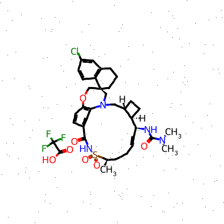 C[C@@H]1CC/C=C/[C@H](NC(=O)N(C)C)[C@@H]2CC[C@H]2CN2C[C@@]3(CCCc4cc(Cl)ccc43)COc3ccc(cc32)C(=O)NS1(=O)=O.O=C(O)C(F)(F)F